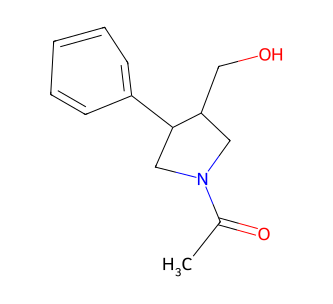 CC(=O)N1CC(CO)C(c2ccccc2)C1